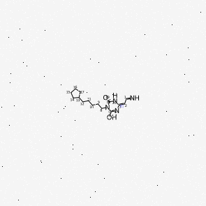 N=C/C=C1/N=C(O)N(CCCCCC2CCCC2)C(=O)N1